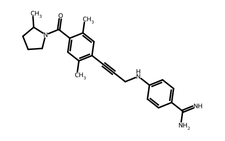 Cc1cc(C(=O)N2CCCC2C)c(C)cc1C#CCNc1ccc(C(=N)N)cc1